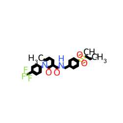 CCC(C)S(=O)(=O)c1ccc(CNC(=O)c2ccc(C)n(-c3ccc(C(F)(F)F)cc3)c2=O)cc1